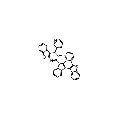 CN1C(n2c3ccccc3c3c4c5ccccc5sc4c4ccccc4c32)=Nc2oc3ccccc3c2C1c1cccnc1